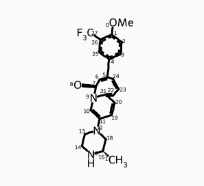 COc1ccc(C2=C\C(=O)N3C=C(N4CCN[C@H](C)C4)C=C\C3=C/C=C/2)cc1C(F)(F)F